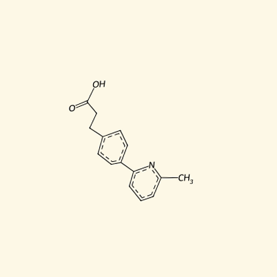 Cc1cccc(-c2ccc(CCC(=O)O)cc2)n1